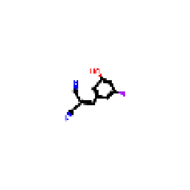 N#CC(C#N)=Cc1cc(O)cc(I)c1